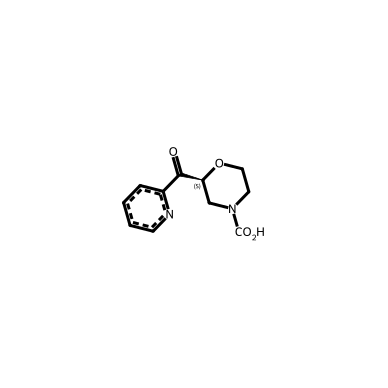 O=C(c1ccccn1)[C@@H]1CN(C(=O)O)CCO1